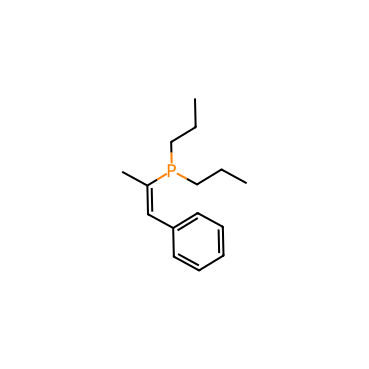 CCCP(CCC)C(C)=Cc1ccccc1